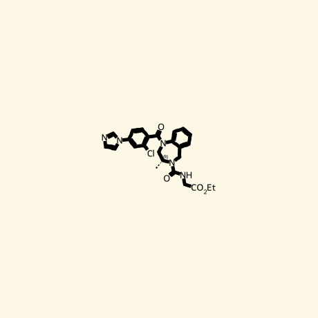 CCOC(=O)CNC(=O)N1Cc2ccccc2N(C(=O)c2ccc(-n3ccnc3)cc2Cl)C[C@H]1C